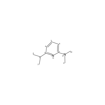 CC(C)c1cccc(N(C)C)n1